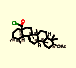 CC(=O)O[C@H]1CC[C@]2(C)[C@H]3CC=C4[C@@H]5[C@@H](C)[C@H](C)CC[C@]5(C(=O)Cl)CC[C@@]4(C)[C@]3(C)CC[C@H]2C1(C)C